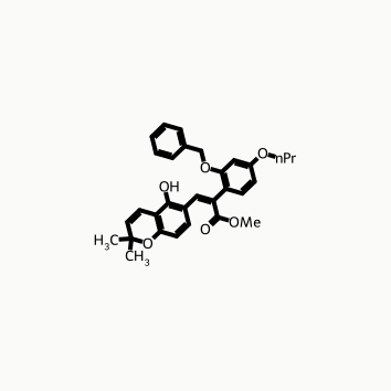 CCCOc1ccc(/C(=C/c2ccc3c(c2O)C=CC(C)(C)O3)C(=O)OC)c(OCc2ccccc2)c1